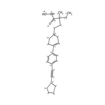 CSC(C)(CCN1CC=C(c2ccc(C#CC3CCCC3)cc2)CC1)C(=O)NO